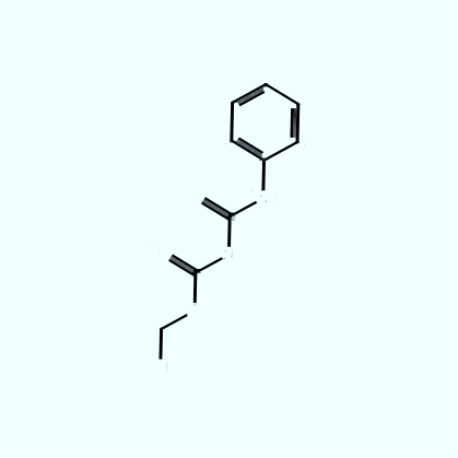 CCOC(=O)NC(=S)Nc1ccccc1